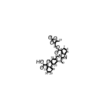 CCc1nc2cccc(C(=O)OCc3oc(=O)oc3C)c2n1Cc1ccc(-c2ccccc2C(=O)C(=O)O)cc1